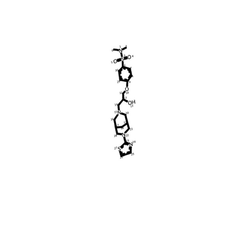 CN(C)S(=O)(=O)c1ccc(OCC(O)CN2CC3CC(C2)CN(c2nccs2)C3)cc1